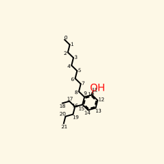 CCCCCCCCCc1c(O)cccc1C(CC)CCC